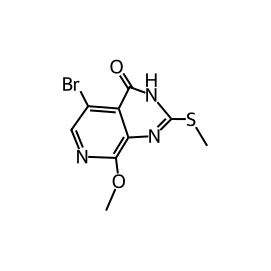 COc1ncc(Br)c2c(=O)[nH]c(SC)nc12